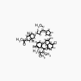 CC[C@@H]([C@H]1C[C@@H](N2C[C@H]3CN(C(C)=O)C[C@@H]3C2)C1)N1CC[C@H](Cc2cn(-c3ccc(F)cc3C(=O)N(C)C(C)C)c3cncc(Cl)c23)C1